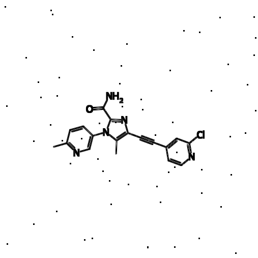 Cc1ccc(-n2c(C(N)=O)nc(C#Cc3ccnc(Cl)c3)c2C)cn1